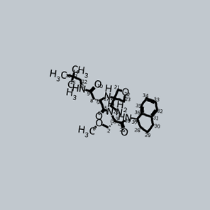 COC[C@H](NC(=O)[C@H](CC(=O)NCC(C)(C)C)NC1(CN)COC1)C(=O)N[C@@H]1CCCc2ccccc21